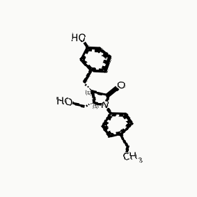 CCc1ccc(N2C(=O)[C@@H](Cc3cccc(O)c3)[C@H]2CO)cc1